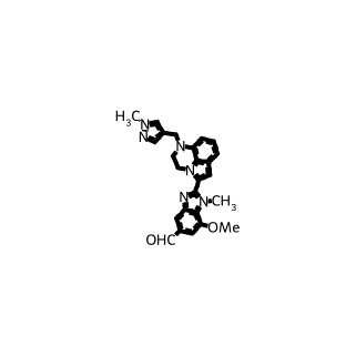 COc1cc(C=O)cc2nc(-c3cc4cccc5c4n3CCN5Cc3cnn(C)c3)n(C)c12